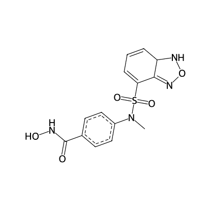 CN(c1ccc(C(=O)NO)cc1)S(=O)(=O)C1=CC=CC2NON=C12